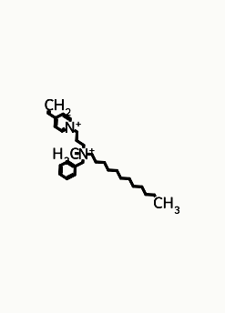 C=Cc1cc[n+](CCC[N+](C)(CCCCCCCCCCCC)Cc2ccccc2)cc1